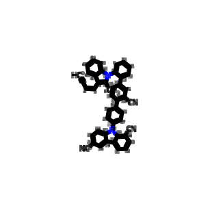 C#C/C=C\c1c(C)n(-c2ccccc2-c2ccc(-c3ccc(-n4c5ccc(C#N)cc5c5cccc(C#N)c54)cc3)c(C#N)c2)c2ccccc12